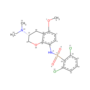 COc1ccc(NS(=O)(=O)c2c(Cl)cccc2Cl)c2c1C[C@@H](N(C)C)CO2